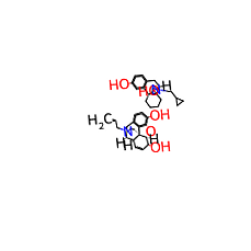 C=CCN1CC[C@]23c4c5ccc(O)c4O[C@H]2[C@@H](O)C=C[C@H]3[C@H]1C5.Oc1ccc2c(c1)[C@@]13CCCC[C@@]1(O)[C@@H](C2)N(CC1CC1)CC3